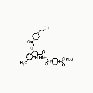 CCCCOC(=O)N1CCN(C(=O)CNC(=O)c2cc(OCC(=O)N3CCN(CCO)CC3)c3ccc(C)cc3n2)CC1